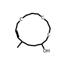 CC1C=CCCCCCCCCCCC(O)CC1